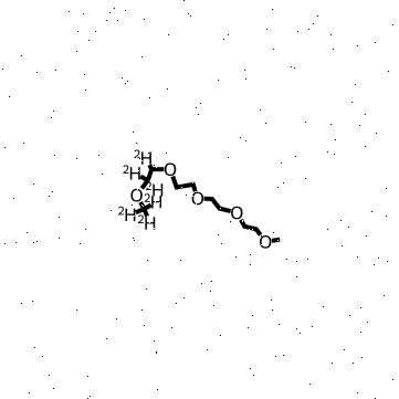 [2H]C(OCCOCCOCCOC)C([2H])([2H])OC([2H])([2H])[2H]